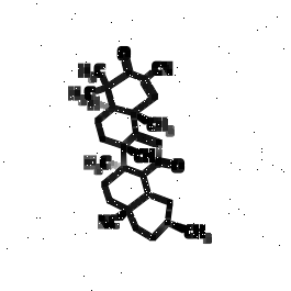 C[C@H]1CC[C@]2(C#N)CC[C@]3(C)C(C(=O)C=C4[C@@]5(C)C=C(C#N)C(=O)C(C)(C)[C@@H]5CC[C@]43C)C2C1